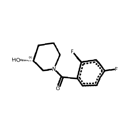 O=C(c1ccc(F)cc1F)N1CCC[C@@H](O)C1